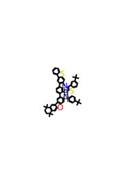 CC(C)(C)c1ccc(Nc2cc3oc4cc5c(cc4c3cc2-c2ccc3c4cc6c(cc4n4c3c2Bc2sc3ccc(C(C)(C)C)cc3c2-4)sc2ccccc26)C(C)(C)CCC5(C)C)cc1